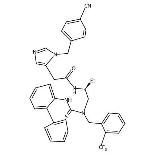 CC[C@@H](CN(Cc1ccccc1C(F)(F)F)C(=S)Nc1ccccc1-c1ccccc1)NC(=O)Cc1cncn1Cc1ccc(C#N)cc1